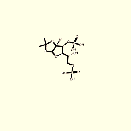 CC1(C)OC2O[C@H]([C@H](O)COP(=O)(O)O)[C@H](OP(=O)(O)O)[C@H]2O1